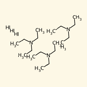 CCN(CC)CC.CCN(CC)CC.CCN(CC)CC.I.I.I